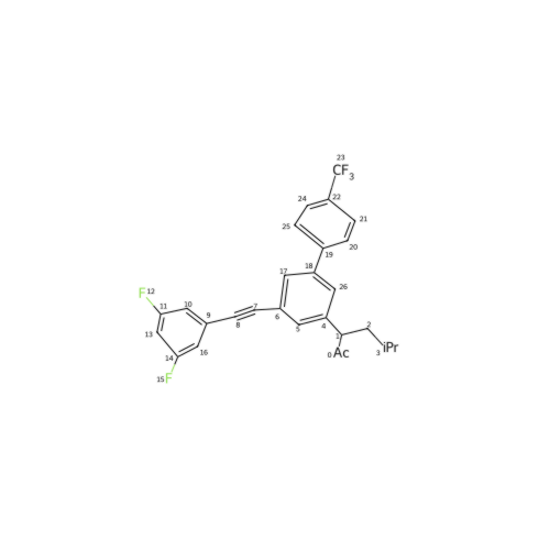 CC(=O)C(CC(C)C)c1cc(C#Cc2cc(F)cc(F)c2)cc(-c2ccc(C(F)(F)F)cc2)c1